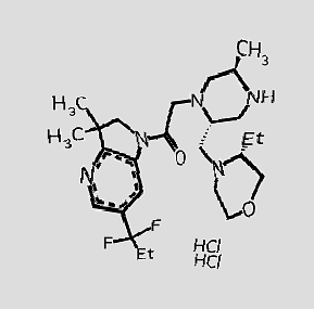 CC[C@@H]1COCCN1C[C@H]1CN[C@H](C)CN1CC(=O)N1CC(C)(C)c2ncc(C(F)(F)CC)cc21.Cl.Cl